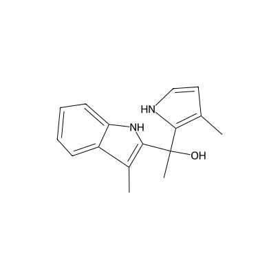 Cc1cc[nH]c1C(C)(O)c1[nH]c2ccccc2c1C